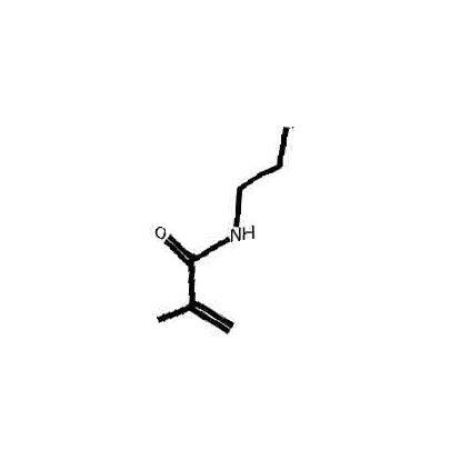 [CH2]CCNC(=O)C(=C)C